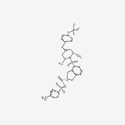 Cc1ccc(S(=O)(=O)OC(=O)[C@H]2Cc3cccc(S(=O)(=O)N4C(C)CN(Cc5ccc(OC(F)(F)F)cc5)CC4C)c3C2)cc1